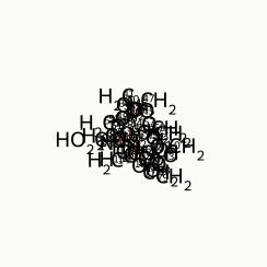 C=CC(=O)OCC(CCC(COC(=O)C=C)(COC(=O)C=C)CC(CCCCCNC(=O)O)(CC(CCC(COC(=O)C=C)(COC(=O)C=C)COC(=O)C=C)(COC(=O)C=C)COC(=O)C=C)NC(=O)O)(COC(=O)C=C)COC(=O)C=C